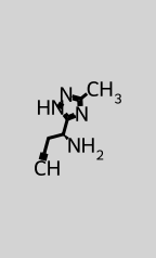 C#CC[C@H](N)c1nc(C)n[nH]1